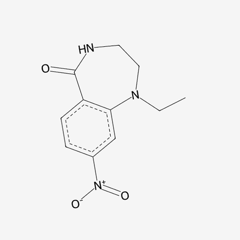 CCN1CCNC(=O)c2ccc([N+](=O)[O-])cc21